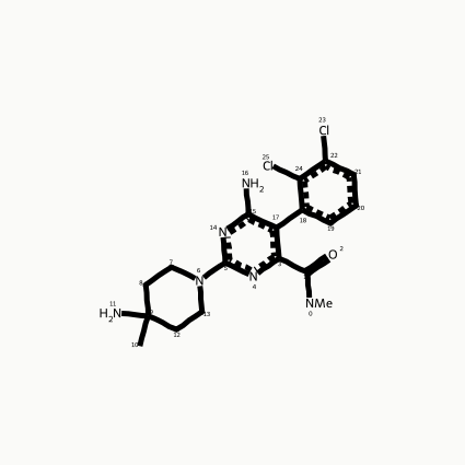 CNC(=O)c1nc(N2CCC(C)(N)CC2)nc(N)c1-c1cccc(Cl)c1Cl